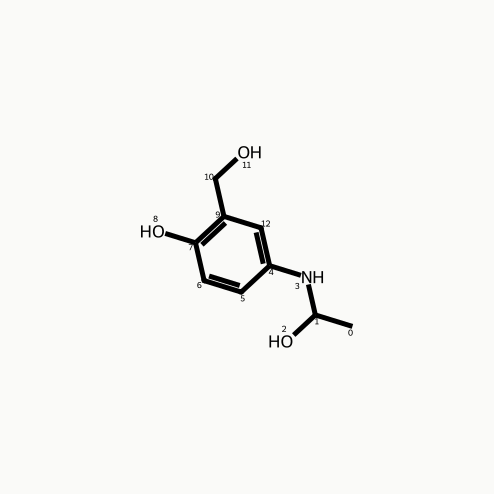 CC(O)Nc1ccc(O)c(CO)c1